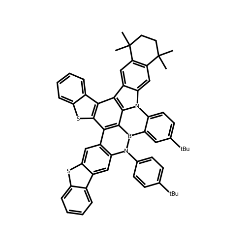 CC(C)(C)c1ccc(N2B3c4cc(C(C)(C)C)ccc4-n4c5cc6c(cc5c5c7c(sc8ccccc87)c(c3c54)-c3cc4sc5ccccc5c4cc32)C(C)(C)CCC6(C)C)cc1